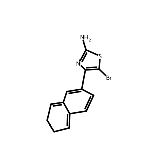 Nc1nc(-c2ccc3c(c2)=CCCC=3)c(Br)s1